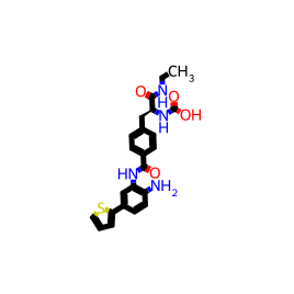 CCNC(=O)[C@H](Cc1ccc(C(=O)Nc2cc(-c3cccs3)ccc2N)cc1)NC(=O)O